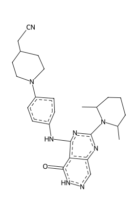 CC1CCCC(C)N1c1nc(Nc2ccc(N3CCC(CC#N)CC3)cc2)c2c(=O)[nH]ncc2n1